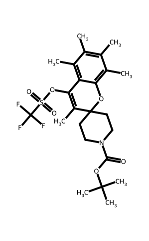 CC1=C(OS(=O)(=O)C(F)(F)F)c2c(C)c(C)c(C)c(C)c2OC12CCN(C(=O)OC(C)(C)C)CC2